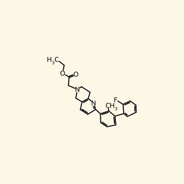 CCOC(=O)CN1CCc2nc(-c3cccc(-c4ccccc4F)c3C)ccc2C1